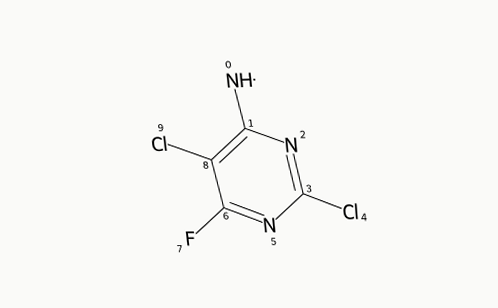 [NH]c1nc(Cl)nc(F)c1Cl